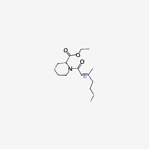 CCCC/C(C)=C/C(=O)N1CCCCC1C(=O)OCC